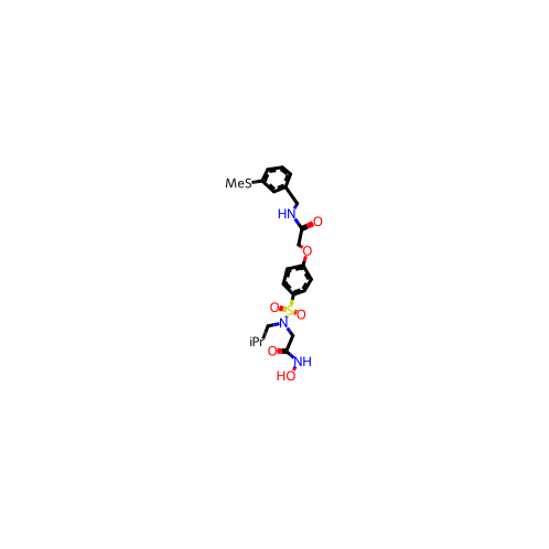 CSc1cccc(CNC(=O)COc2ccc(S(=O)(=O)N(CC(=O)NO)CC(C)C)cc2)c1